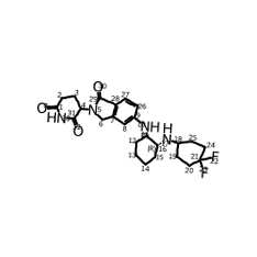 O=C1CCC(N2Cc3cc(N[C@H]4CCCC[C@H]4NC4CCC(F)(F)CC4)ccc3C2=O)C(=O)N1